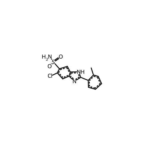 Cc1ccccc1-c1nc2cc(Cl)c(S(N)(=O)=O)cc2[nH]1